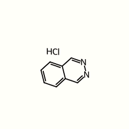 Cl.c1ccc2cnncc2c1